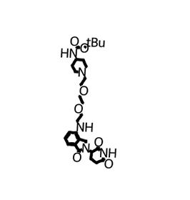 CC(C)(C)OC(=O)NC1CCN(CCOCCOCCNc2cccc3c2CN(C2CCC(=O)NC2=O)C3=O)CC1